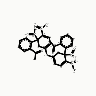 CC(=O)c1ccccc1C1([N+](=O)[O-])CC(OC2=CC=C([N+](=O)[O-])C(c3ccccc3C(C)=O)([N+](=O)[O-])C2)=CC=C1[N+](=O)[O-]